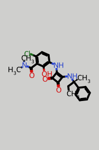 CC[C@](C)(Nc1c(Nc2ccc(Cl)c(C(=O)N(C)C)c2O)c(=O)c1=O)c1ccccc1